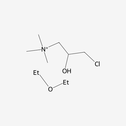 CCOCC.C[N+](C)(C)CC(O)CCl